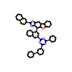 c1ccc(-c2cccc(-c3nc(-c4ccccc4)nc(-c4cc(-c5c6nc(-c7ccc8ccccc8c7)sc6cc6c5oc5ccccc56)c5ccccc5c4)n3)c2)cc1